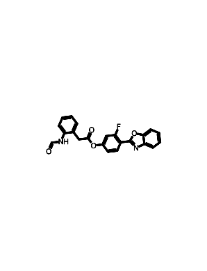 O=CNc1ccccc1CC(=O)Oc1ccc(-c2nc3ccccc3o2)c(F)c1